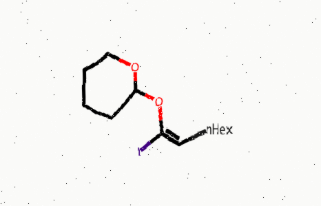 CCCCCC/C=C(/I)OC1CCCCO1